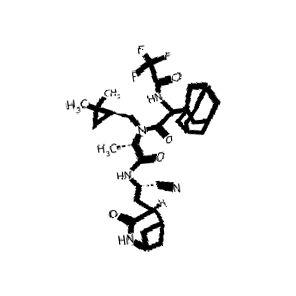 C[C@@H](C(=O)N[C@H](C#N)C[C@H]1C(=O)NC2CC1C2)N(C[C@H]1CC1(C)C)C(=O)C(NC(=O)C(F)(F)F)C12CC3CC(CC(C3)C1)C2